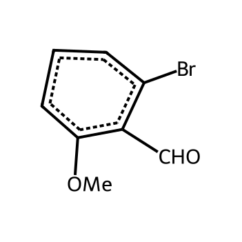 COc1cccc(Br)c1C=O